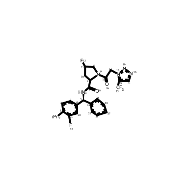 CC(C)c1ccc([C@@H](NC(=O)C2CC(F)CN2C(=O)Cn2nncc2C(F)(F)F)c2ccccc2)cc1F